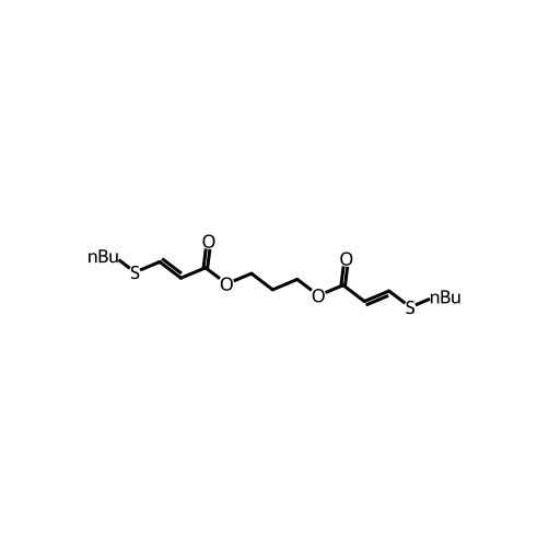 CCCCSC=CC(=O)OCCCOC(=O)/C=C/SCCCC